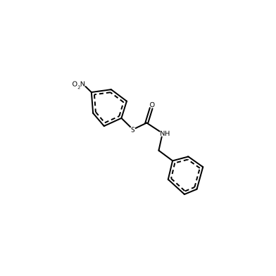 O=C(NCc1ccccc1)Sc1ccc([N+](=O)[O-])cc1